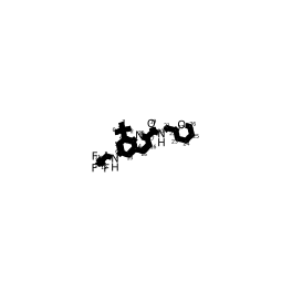 CC(C)(C)c1cc(NCC(F)(F)F)cc2ccc(C(=O)NCC3CCCCO3)nc12